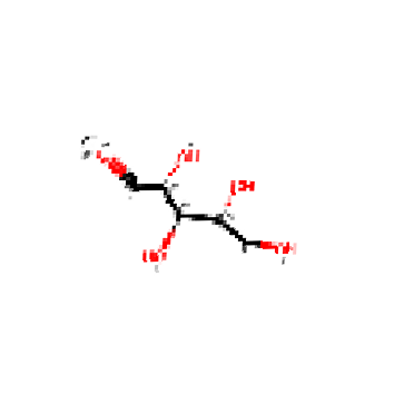 O=C[C@H](O)[C@H](O)[C@H](O)CO.[C]